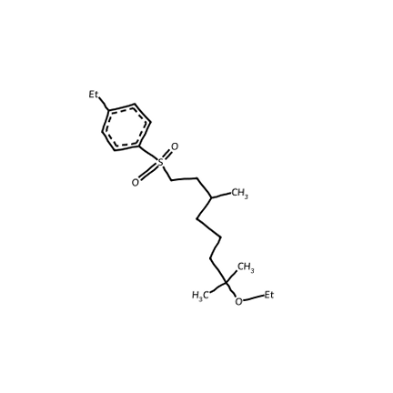 CCOC(C)(C)CCCC(C)CCS(=O)(=O)c1ccc(CC)cc1